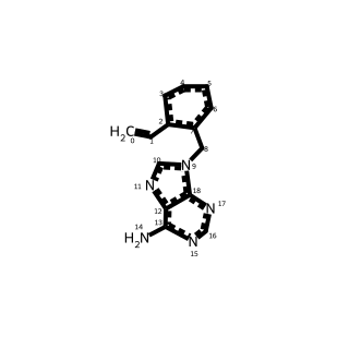 C=Cc1ccccc1Cn1cnc2c(N)ncnc21